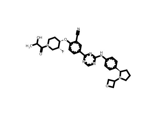 CC(O)C(=O)N1CC[C@H](Oc2ccc(-c3ncnc(Nc4ccc([C@H]5CCCN5C5COC5)cc4)n3)cc2C#N)[C@H](F)C1